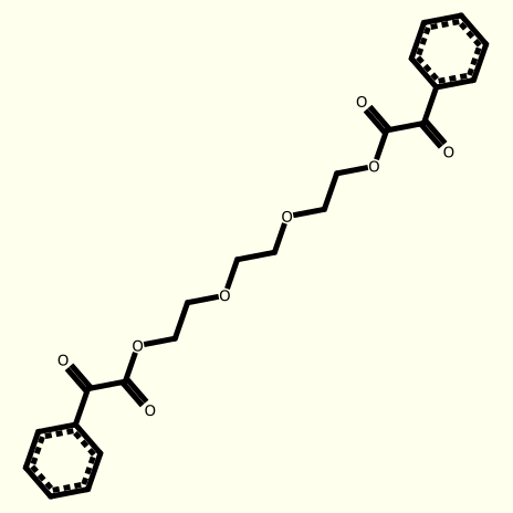 O=C(OCCOCCOCCOC(=O)C(=O)c1ccccc1)C(=O)c1ccccc1